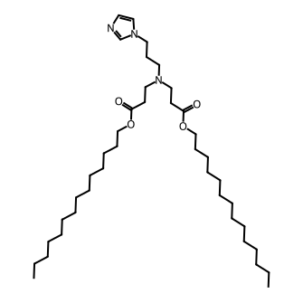 CCCCCCCCCCCCCCOC(=O)CCN(CCCn1ccnc1)CCC(=O)OCCCCCCCCCCCCCC